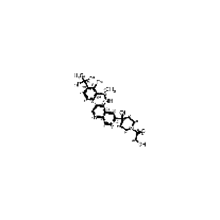 C[C@@H](Nc1ccnc2cnc(C3(O)CCN(C(=O)CO)CC3)cc12)c1cccc(C(C)(F)F)c1F